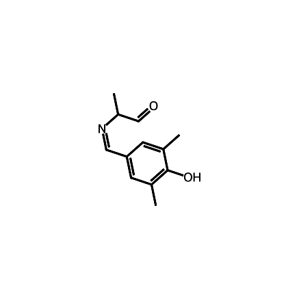 Cc1cc(/C=N\C(C)C=O)cc(C)c1O